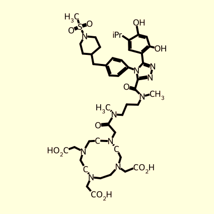 CC(C)c1cc(-c2nnc(C(=O)N(C)CCCN(C)C(=O)CN3CCN(CC(=O)O)CCN(CC(=O)O)CCN(CC(=O)O)CC3)n2-c2ccc(CC3CCN(S(C)(=O)=O)CC3)cc2)c(O)cc1O